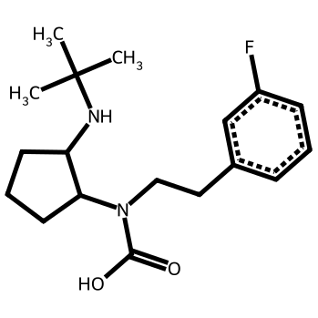 CC(C)(C)NC1CCCC1N(CCc1cccc(F)c1)C(=O)O